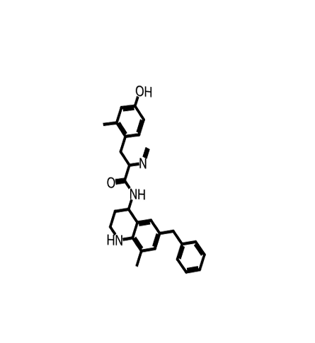 C=NC(Cc1ccc(O)cc1C)C(=O)NC1CCNc2c(C)cc(Cc3ccccc3)cc21